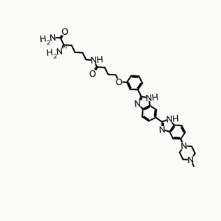 CN1CCN(c2ccc3[nH]c(-c4ccc5nc(-c6cccc(OCCCC(=O)NCCCC[C@@H](N)C(N)=O)c6)[nH]c5c4)nc3c2)CC1